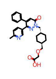 Cc1ccc(-c2nn(C[C@H]3CC[C@H](COCC(=O)O)CC3)c(=O)cc2-c2ccccc2)cn1